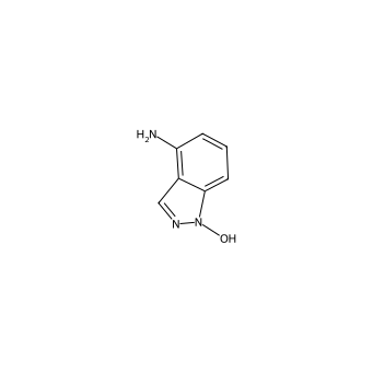 Nc1cccc2c1cnn2O